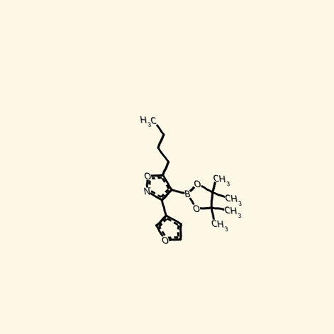 CCCCc1onc(-c2ccoc2)c1B1OC(C)(C)C(C)(C)O1